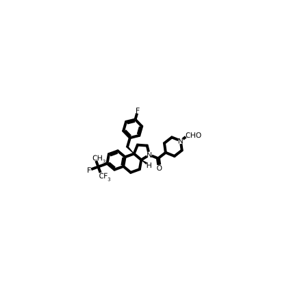 CC(F)(c1ccc2c(c1)CC[C@H]1N(C(=O)C3CCN(C=O)CC3)CC[C@@]21Cc1ccc(F)cc1)C(F)(F)F